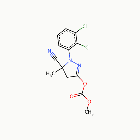 COC(=O)OC1=NN(c2cccc(Cl)c2Cl)C(C)(C#N)C1